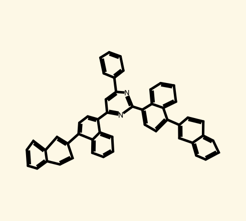 c1ccc(-c2cc(-c3ccc(-c4ccc5ccccc5c4)c4ccccc34)nc(-c3ccc(-c4ccc5ccccc5c4)c4ccccc34)n2)cc1